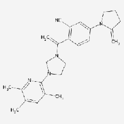 C=C(c1ccc(N2CCCC2=C)cc1C#N)N1CCN(c2nc(C)c(C)cc2C)C1